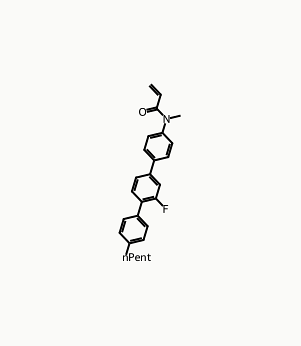 C=CC(=O)N(C)c1ccc(-c2ccc(-c3ccc(CCCCC)cc3)c(F)c2)cc1